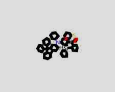 c1ccc(N(c2ccc3c(c2)[SiH](c2ccccc2)c2ccccc2[Si]32c3ccccc3Sc3ccccc32)c2ccc3c(c2)C(c2ccccc2)(c2ccccc2)c2ccccc2-3)cc1